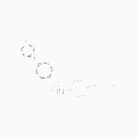 O=C(O)C1CCC(NS(=O)(=O)c2ccc(-n3ccnc3)cc2)CC1